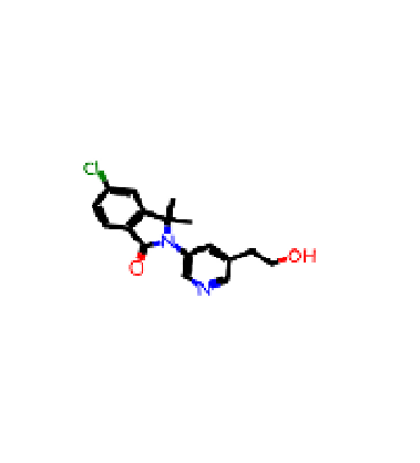 CC1(C)c2cc(Cl)ccc2C(=O)N1c1cncc(CCO)c1